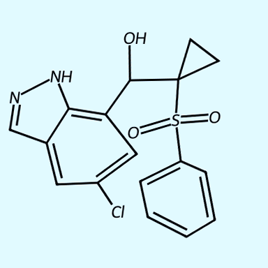 O=S(=O)(c1ccccc1)C1(C(O)c2cc(Cl)cc3cn[nH]c23)CC1